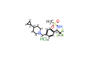 CS(=O)(=O)N[C@@H](c1ccc(CN2CCC(C3CC3)CC2)cc1)C(F)(F)F.Cl